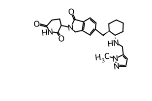 Cn1nccc1CN[C@H]1CCCC[C@@H]1Cc1ccc2c(c1)CN(C1CCC(=O)NC1=O)C2=O